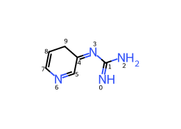 N=C(N)N=C1C=NC=CC1